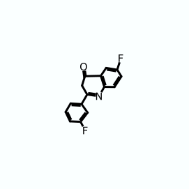 O=C1CC(c2cccc(F)c2)=Nc2ccc(F)cc21